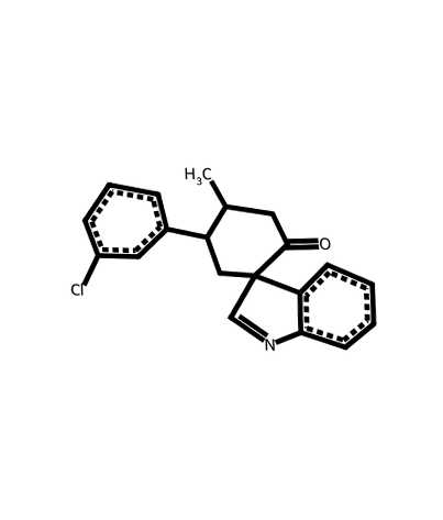 CC1CC(=O)C2(C=Nc3ccccc32)CC1c1cccc(Cl)c1